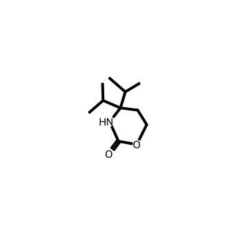 CC(C)C1(C(C)C)CCOC(=O)N1